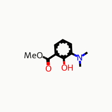 COC(=O)c1cccc(N(C)C)c1O